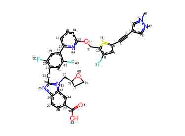 Cn1cc(C#Cc2cc(F)c(COc3cccc(-c4cc(F)c(Cc5nc6ccc(C(=O)O)cc6n5C[C@@H]5CCO5)cc4F)n3)s2)cn1